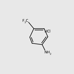 Cl.Nc1ccc(C(F)(F)F)cc1